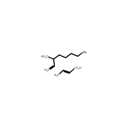 C/C=C/C(=O)O.C=CC(CCCCC(C)(C)C)C(=O)O